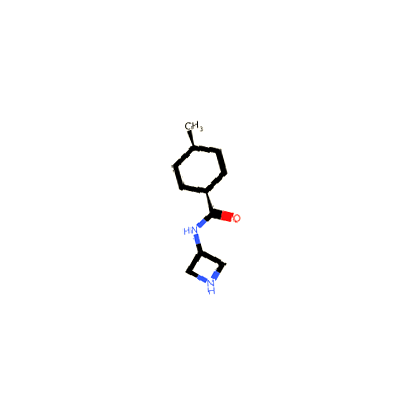 C[C@H]1CC[C@@H](C(=O)NC2CNC2)CC1